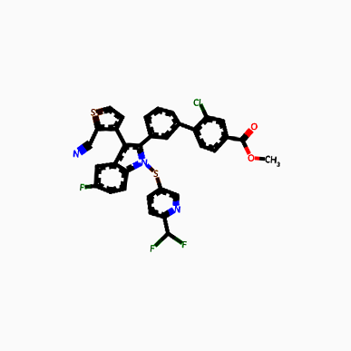 COC(=O)c1ccc(-c2cccc(-c3c(-c4ccsc4C#N)c4cc(F)ccc4n3Sc3ccc(C(F)F)nc3)c2)c(Cl)c1